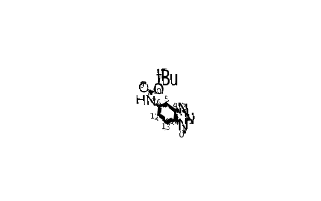 Cn1nnc2cc(NC(=O)OC(C)(C)C)ccc21